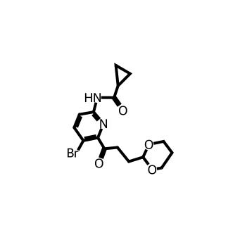 O=C(CCC1OCCCO1)c1nc(NC(=O)C2CC2)ccc1Br